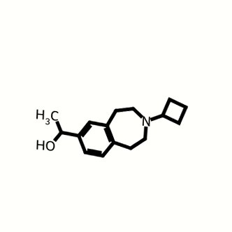 CC(O)c1ccc2c(c1)CCN(C1CCC1)CC2